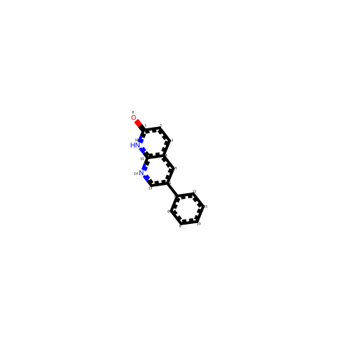 O=c1ccc2cc(-c3ccccc3)cnc2[nH]1